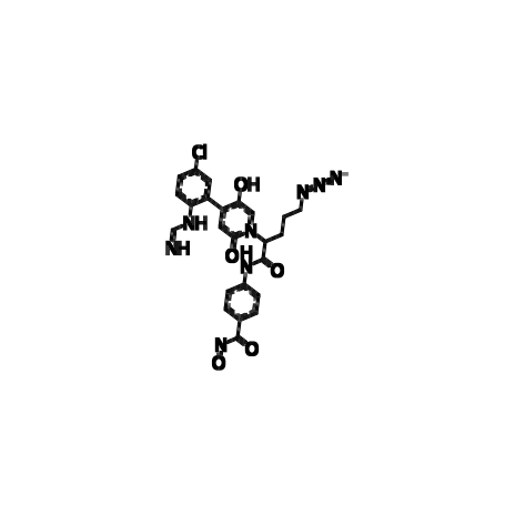 [N-]=[N+]=NCCCC(C(=O)Nc1ccc(C(=O)N=O)cc1)n1cc(O)c(-c2cc(Cl)ccc2NC=N)cc1=O